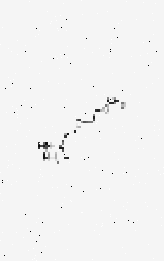 COCCOCCC(=O)NN